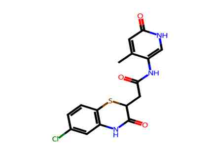 Cc1cc(=O)[nH]cc1NC(=O)CC1Sc2ccc(Cl)cc2NC1=O